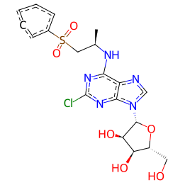 C[C@H](CS(=O)(=O)c1ccccc1)Nc1nc(Cl)nc2c1ncn2[C@@H]1O[C@H](CO)[C@@H](O)[C@H]1O